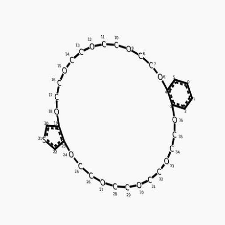 c1ccc2c(c1)OCCOCCOCCOCCOc1cscc1OCCOCCOCCOCCO2